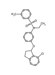 CCN(c1cccc(OC2CCc3cccc(Cl)c32)c1)S(=O)(=O)c1cccc(C)c1